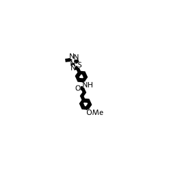 COc1ccc(CCC(=O)Nc2ccc(-c3nn4c(C)nnc4s3)cc2)cc1